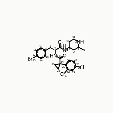 CC1CC(NC(=O)[C@H](Cc2ccc(Br)cc2)NC(=O)C2(c3ccc(Cl)cc3Cl)CC2)CCN1